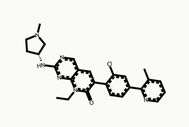 CCn1c(=O)c(-c2ccc(-c3ncccc3C)cc2Cl)cc2cnc(N[C@@H]3CCN(C)C3)nc21